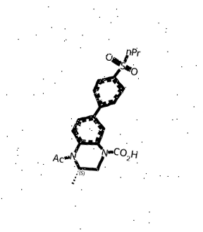 CCCS(=O)(=O)c1ccc(-c2ccc3c(c2)N(C(=O)O)C[C@H](C)N3C(C)=O)cc1